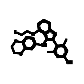 Cc1cc(O)cc(C)c1-c1nc2cccc(OCCF)n2c1Nc1ccc2c(c1)OCCO2